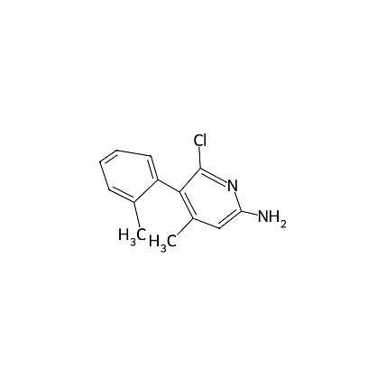 Cc1ccccc1-c1c(C)cc(N)nc1Cl